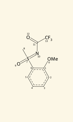 COc1ccccc1S(C)(=O)=NC(=O)C(F)(F)F